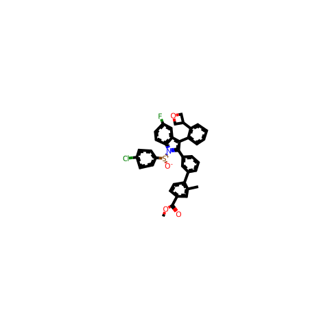 COC(=O)c1ccc(-c2cccc(-c3c(-c4ccccc4C4COC4)c4cc(F)ccc4n3[S+]([O-])c3ccc(Cl)cc3)c2)c(C)c1